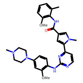 COc1cc(N2CCN(C)CC2)ccc1Nc1nccc(-c2cc(C(=O)Nc3c(C)cccc3OC)cn2C)n1